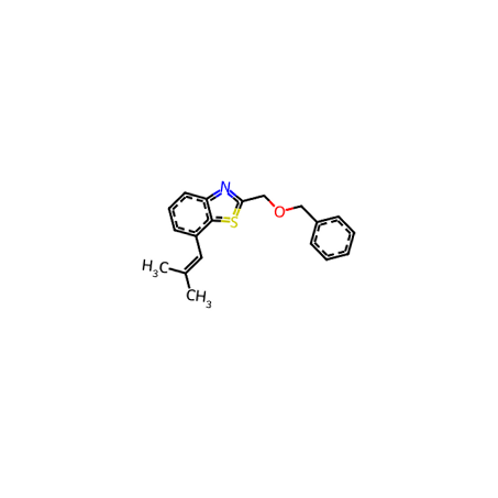 CC(C)=Cc1cccc2nc(COCc3ccccc3)sc12